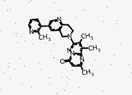 Cc1cc(=O)n2nc(N3CCc4ncc(-c5cccnc5C)cc4C3)c(C)c(C)c2n1